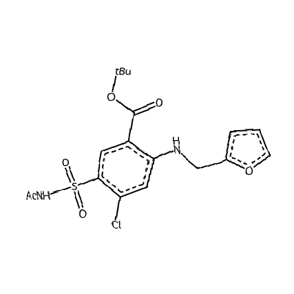 CC(=O)NS(=O)(=O)c1cc(C(=O)OC(C)(C)C)c(NCc2ccco2)cc1Cl